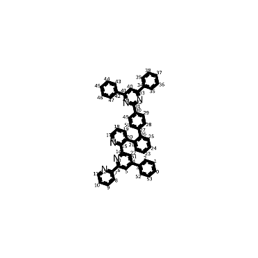 c1ccc(-c2cc(-c3ccccn3)nc(-c3ncccc3-c3ccccc3-c3ccc(-c4nc(-c5ccccc5)cc(-c5ccccc5)n4)cc3)c2)cc1